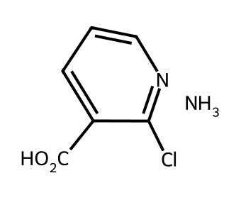 N.O=C(O)c1cccnc1Cl